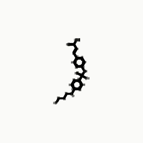 O=C(O)C=Cc1ccc(OC(F)(F)c2ccc(OCCCF)cc2)cc1